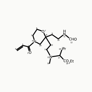 C=CC(=O)N1CCOC(CCNC=O)(CCN(C)C(C(=O)OCC)C(C)C)C1